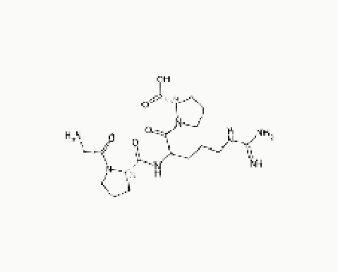 N=C(N)NCCCC(NC(=O)[C@@H]1CCCN1C(=O)CN)C(=O)N1CCC[C@H]1C(=O)O